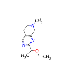 CCOC(C)c1ncc2c(n1)CN(C)CC2